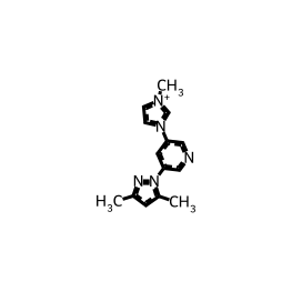 Cc1cc(C)n(-c2cncc(-n3cc[n+](C)c3)c2)n1